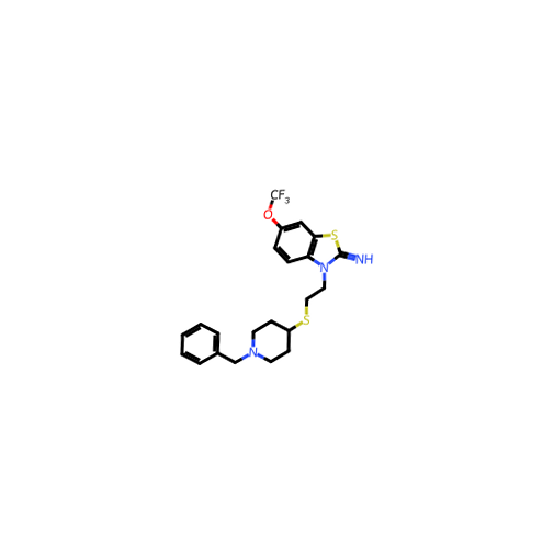 N=c1sc2cc(OC(F)(F)F)ccc2n1CCSC1CCN(Cc2ccccc2)CC1